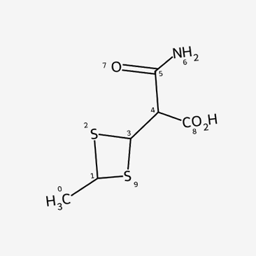 CC1SC(C(C(N)=O)C(=O)O)S1